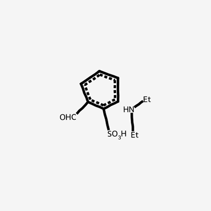 CCNCC.O=Cc1ccccc1S(=O)(=O)O